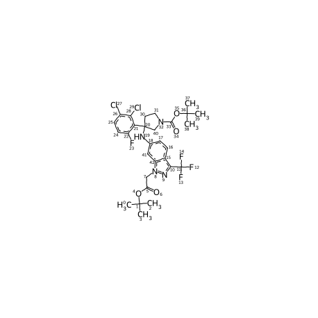 CC(C)(C)OC(=O)Cn1nc(C(F)(F)F)c2ccc(NC3(c4c(F)ccc(Cl)c4Cl)CCN(C(=O)OC(C)(C)C)C3)cc21